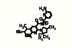 CC(c1cc(C(=O)NS(=O)(=O)c2cccc(N)n2)c(N2C[C@@H](C)CC2(C)C)nc1C(C)(C)C)C(C)C(C)(C)C